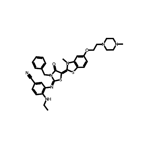 CCNc1ccc(C#N)cc1/N=C1/S/C(=C2\Sc3ccc(OCCN4CCN(C)CC4)cc3N2C)C(=O)N1Cc1ccccc1